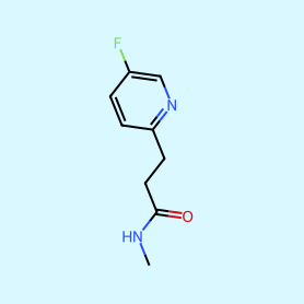 CNC(=O)CCc1ccc(F)cn1